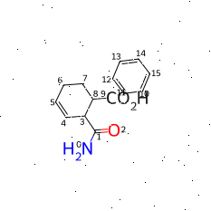 NC(=O)C1C=CCCC1C(=O)O.c1ccccc1